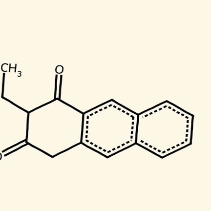 CCC1C(=O)Cc2cc3ccccc3cc2C1=O